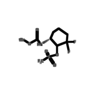 CC(C)(C)OC(=O)N[C@@H]1CCCC(F)(F)C1OS(=O)(=O)C(F)(F)F